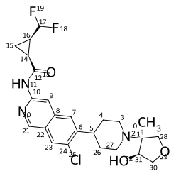 C[C@]1(N2CCC(c3cc4cc(NC(=O)[C@H]5C[C@H]5C(F)F)ncc4cc3Cl)CC2)COC[C@H]1O